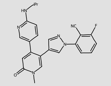 CC(C)Nc1ccc(-c2cc(=O)n(C)cc2-c2cnn(-c3cccc(F)c3C#N)c2)cn1